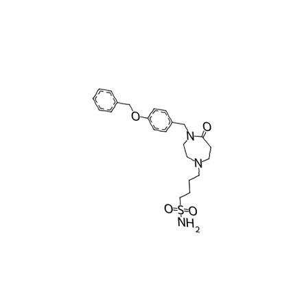 NS(=O)(=O)CCCCN1CCC(=O)N(Cc2ccc(OCc3ccccc3)cc2)CC1